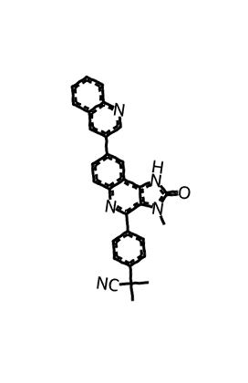 Cn1c(=O)[nH]c2c3cc(-c4cnc5ccccc5c4)ccc3nc(-c3ccc(C(C)(C)C#N)cc3)c21